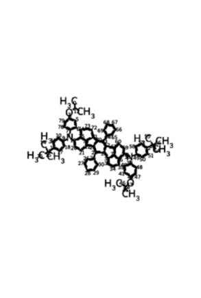 CC(C)Oc1ccc(N(c2ccc(C(C)(C)C)cc2)c2ccc3c4c(-c5ccccc5)c5c6cccc7c(N(c8ccc(OC(C)C)cc8)c8ccc(C(C)(C)C)cc8)ccc(c5c(-c5ccccc5)c4c4cccc2c43)c76)cc1